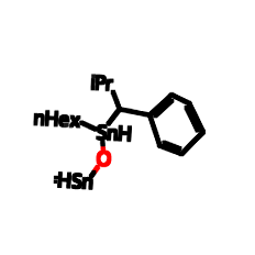 CCCCC[CH2][SnH]([O][SnH])[CH](c1ccccc1)C(C)C